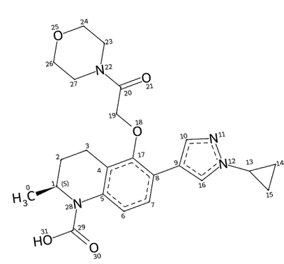 C[C@H]1CCc2c(ccc(-c3cnn(C4CC4)c3)c2OCC(=O)N2CCOCC2)N1C(=O)O